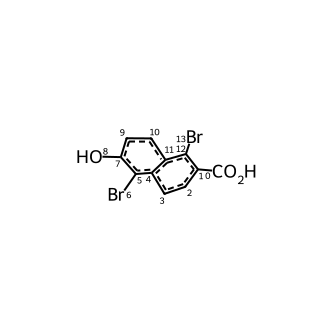 O=C(O)c1ccc2c(Br)c(O)ccc2c1Br